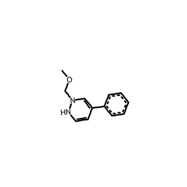 COCN1C=C(c2ccccc2)C=CN1